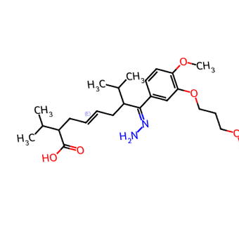 COCCCOc1cc(C(=NN)C(C/C=C/CC(C(=O)O)C(C)C)C(C)C)ccc1OC